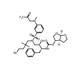 CN(CC(=O)C(F)(F)F)c1cccc(S(=O)(=O)N(C[C@@H](O)[C@H](Cc2ccccc2)NC(=O)O[C@H]2CO[C@H]3OCC[C@H]32)CC(C)(C)CCC#N)c1